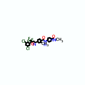 CNC(=O)c1ccc(NC(=O)c2ccc(C3=NOC(c4cc(Cl)cc(Cl)c4)(C(F)(F)F)C3)cc2C)cc1